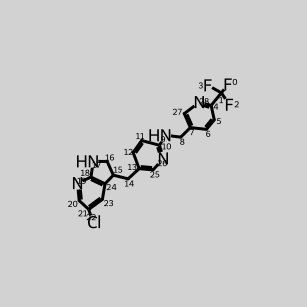 FC(F)(F)c1ccc(CNc2ccc(CC3CNc4ncc(Cl)cc43)cn2)cn1